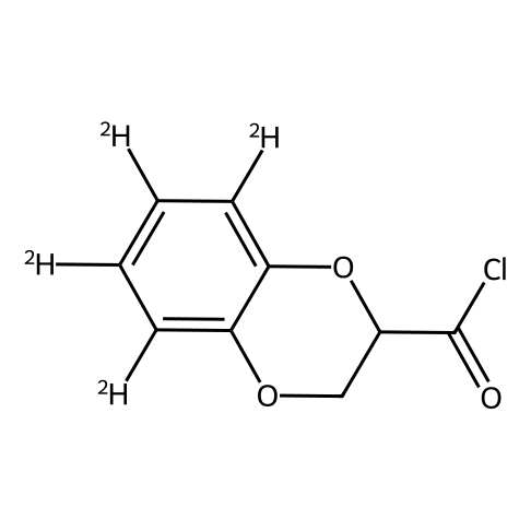 [2H]c1c([2H])c([2H])c2c(c1[2H])OCC(C(=O)Cl)O2